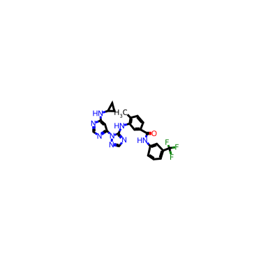 Cc1ccc(C(=O)Nc2cccc(C(F)(F)F)c2)cc1Nc1ncnn1-c1cc(NC2CC2)ncn1